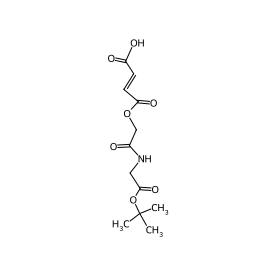 CC(C)(C)OC(=O)CNC(=O)COC(=O)/C=C/C(=O)O